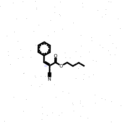 CCCCOC(=O)/C(C#N)=C\c1ccccc1